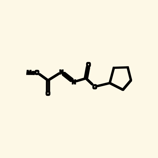 COC(=O)N=NC(=O)OC1CCCC1